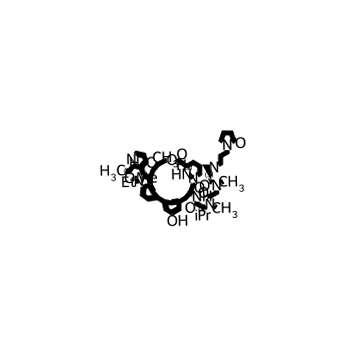 CCn1c(-c2cccnc2[C@H](C)OC)c2c3cc(ccc31)-c1cc(O)cc(c1)C[C@H](NC(=O)[C@H](C(C)C)N(C)C(=O)CN(C)C(=O)[C@@H]1CN1CCCN1CCCC1=O)C(=O)N1CCC[C@H](N1)C(=O)OCC(C)(C)C2